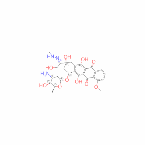 CN/N=C(\CO)[C@]1(O)Cc2c(O)c3c(c(O)c2[C@@H](O[C@H]2C[C@H](N)[C@H](O)[C@H](C)O2)C1)C(=O)c1c(OC)cccc1C3=O